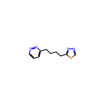 c1cnnc(CCCCc2nncs2)c1